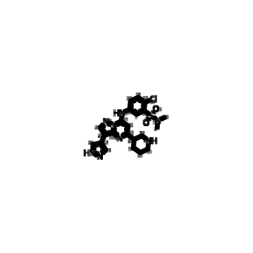 CN(C)S(=O)(=O)c1cc(Nc2cc(C3CCCNC3)nc3c(-c4cn[nH]c4)cnn23)ccc1Cl